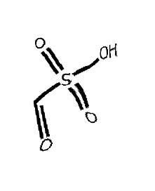 O=CS(=O)(=O)O